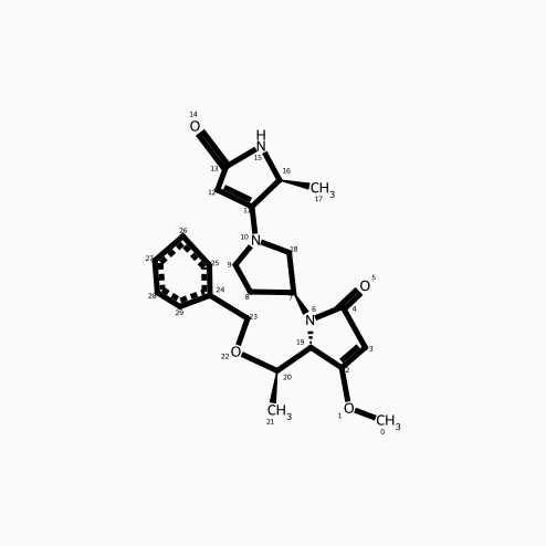 COC1=CC(=O)N([C@H]2CCN(C3=CC(=O)N[C@H]3C)C2)[C@H]1[C@@H](C)OCc1ccccc1